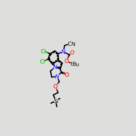 CC(C)(C)OC(=O)N(CC#N)c1cc(Cl)c(Cl)c2c1cc1n2CCN(COCC[Si](C)(C)C)C1=O